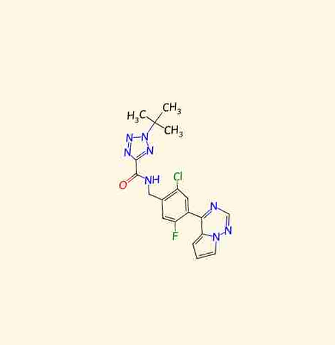 CC(C)(C)n1nnc(C(=O)NCc2cc(F)c(-c3ncnn4cccc34)cc2Cl)n1